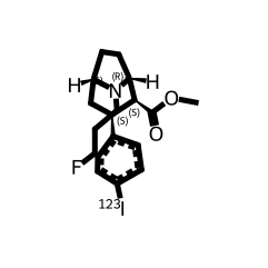 COC(=O)[C@H]1[C@@H](c2ccc([123I])cc2)C[C@@H]2CC[C@H]1N2CCCF